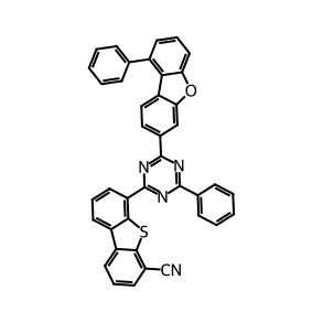 N#Cc1cccc2c1sc1c(-c3nc(-c4ccccc4)nc(-c4ccc5c(c4)oc4cccc(-c6ccccc6)c45)n3)cccc12